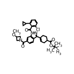 COC1CN(C(=O)c2ccc3c(C4=CCC(C(=O)OC(C)(C)C)CC4)nn(C(=O)c4c(Cl)cccc4C4CC4)c3c2)C1